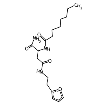 CCCCCCCC(=O)NC(CC(=O)NCCc1ccco1)C(N)=O